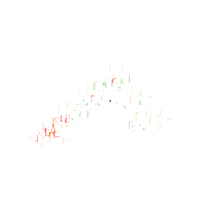 FC(F)(F)C(F)(F)P(C(F)(F)C(F)(F)F)C(F)(F)C(F)(F)F.FC(F)(F)C(F)(F)P(C(F)(F)C(F)(F)F)C(F)(F)C(F)(F)F.FC(F)(F)C(F)(F)P(C(F)(F)C(F)(F)F)C(F)(F)C(F)(F)F.FC(F)(F)C(F)(F)P(C(F)(F)C(F)(F)F)C(F)(F)C(F)(F)F.FC(F)(F)C(F)(F)P(C(F)(F)C(F)(F)F)C(F)(F)C(F)(F)F.O=P(O)(O)OP(=O)(O)OP(=O)(O)O